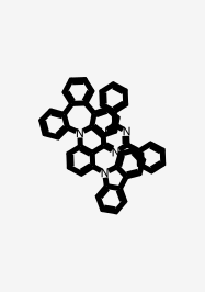 c1ccc(-c2nc(-c3ccccc3)nc(-c3c(N4c5ccccc5-c5ccccc5-c5ccccc54)cccc3-n3c4ccccc4c4ccccc43)n2)cc1